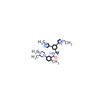 CCn1ccc(-c2cc(-c3cnn(C)c3)cc(C3(NC(=O)c4cc(N5CCN(C)[C@H](C)C5)ccc4C)CC3)c2)n1